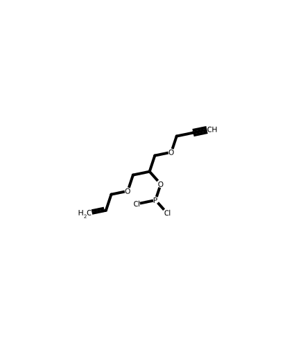 C#CCOCC(COCC=C)OP(Cl)Cl